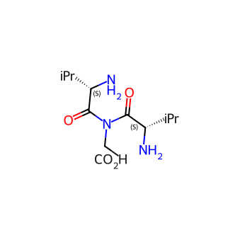 CC(C)[C@H](N)C(=O)N(CC(=O)O)C(=O)[C@@H](N)C(C)C